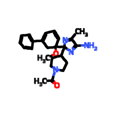 COC1(C2(C3CCN(C(C)=O)CC3)N=C(C)C(N)=N2)C=CC=C(c2ccccc2)C1